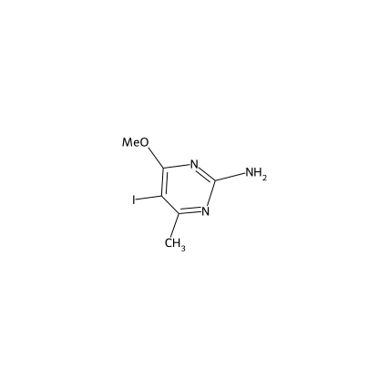 COc1nc(N)nc(C)c1I